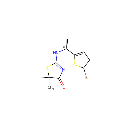 C[C@H](NC1=NC(=O)C(C)(C(F)(F)F)S1)C1=CCC(Br)S1